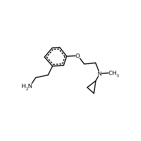 CN(CCOc1cccc(CCN)c1)C1CC1